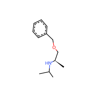 CC(C)N[C@H](C)COCc1ccccc1